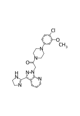 COc1cc(N2CCN(C(=O)Cn3nc(C4=NCCN4)c4cccnc43)CC2)ccc1Cl